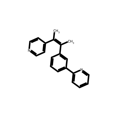 CC(=C(C)c1cccc(-c2ccccn2)c1)c1ccncc1